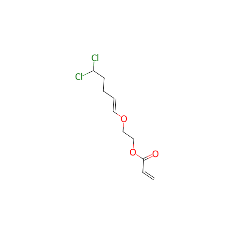 C=CC(=O)OCCOC=CCCC(Cl)Cl